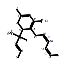 CC=CC(C)(C(C)C)C1CC(C)=CC(F)=C1C/C=C\C=C/C